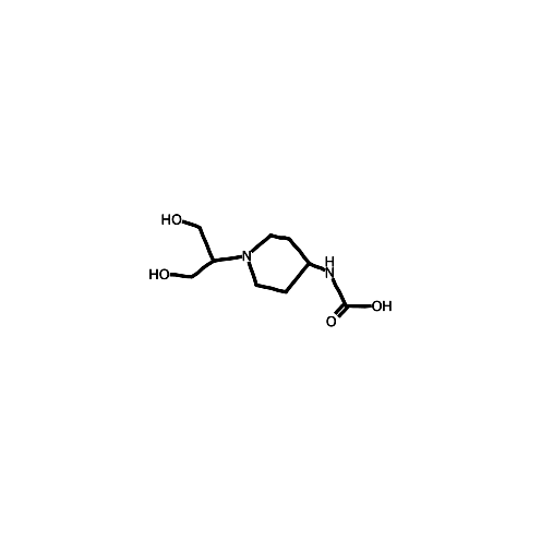 O=C(O)NC1CCN(C(CO)CO)CC1